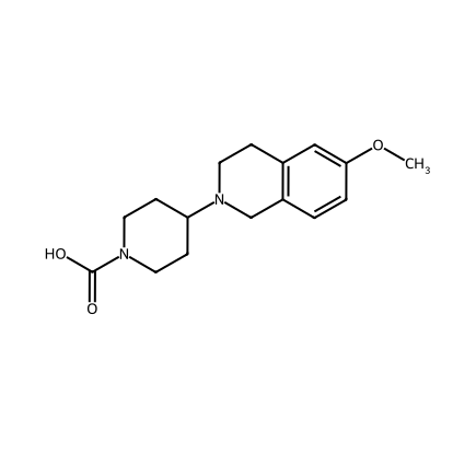 COc1ccc2c(c1)CCN(C1CCN(C(=O)O)CC1)C2